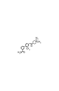 CC1(C)CCC(NCc2ccc(-c3cccc(C(N)=O)c3)c(C(F)(F)F)c2)CC1